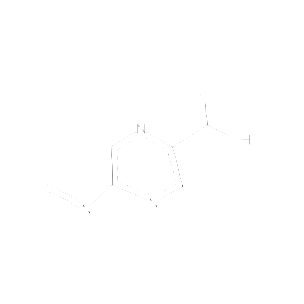 CC(C)c1cnc(N=S)cn1